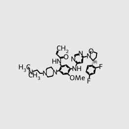 C=CC(=O)Nc1cc(Nc2cc(N3OCC[C@@H]3c3ccc(F)cc3F)ncn2)c(OC)cc1N1CCN(CCN(C)C)CC1